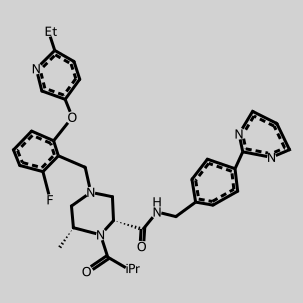 CCc1ccc(Oc2cccc(F)c2CN2C[C@@H](C)N(C(=O)C(C)C)[C@@H](C(=O)NCc3ccc(-c4ncccn4)cc3)C2)cn1